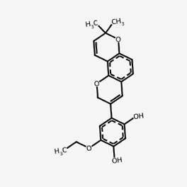 CCOc1cc(C2=Cc3ccc4c(c3OC2)C=CC(C)(C)O4)c(O)cc1O